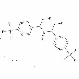 O=C(C(CF)c1ccc(C(F)(F)F)cc1)C(CF)c1ccc(C(F)(F)F)cc1